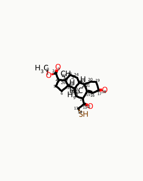 COC(=O)C1CC[C@H]2[C@@H]3CC(C(=O)CS)C4=CC(=O)CC[C@]4(C)[C@@H]3CC[C@]12C